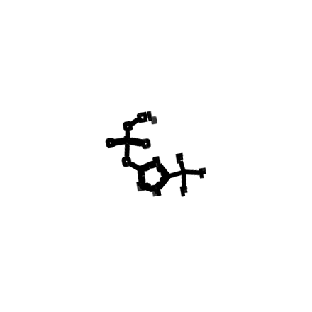 COS(=O)(=O)Oc1nnc(C(F)(F)F)s1